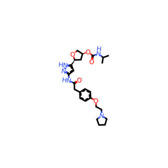 CC(C)NC(=O)O[C@@H]1CO[C@H](c2cc(NC(=O)Cc3ccc(OCCN4CCCC4)cc3)n[nH]2)C1